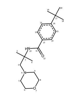 CC(C)(CN1CCOCC1)NC(=O)c1ccc(C(C)(C)C)cc1